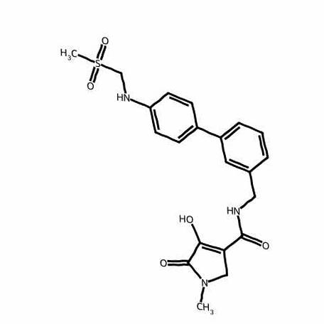 CN1CC(C(=O)NCc2cccc(-c3ccc(NCS(C)(=O)=O)cc3)c2)=C(O)C1=O